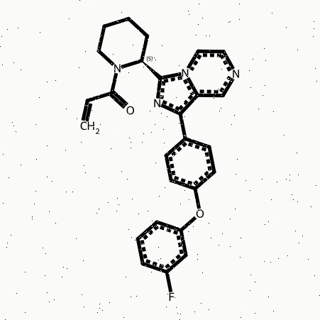 C=CC(=O)N1CCCC[C@H]1c1nc(-c2ccc(Oc3cccc(F)c3)cc2)c2cnccn12